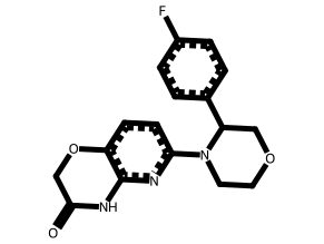 O=C1COc2ccc(N3CCOCC3c3ccc(F)cc3)nc2N1